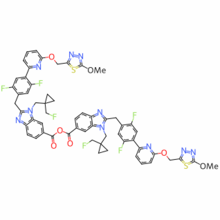 COc1nnc(COc2cccc(-c3cc(F)c(Cc4nc5ccc(C(=O)OC(=O)c6ccc7nc(Cc8cc(F)c(-c9cccc(OCc%10nnc(OC)s%10)n9)cc8F)n(CC8(CF)CC8)c7c6)cc5n4CC4(CF)CC4)cc3F)n2)s1